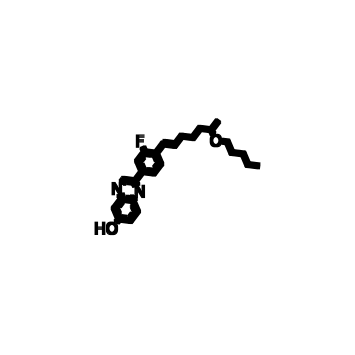 CCCCCOC(C)CCCC=Cc1ccc(-c2cnc3cc(O)ccc3n2)cc1F